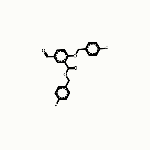 O=Cc1ccc(OCc2ccc(F)cc2)c(C(=O)OCc2ccc(F)cc2)c1